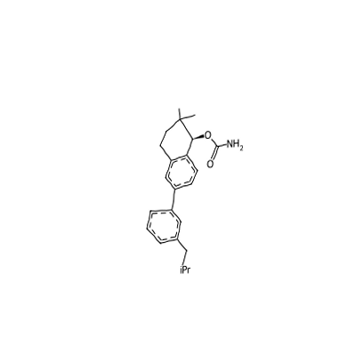 CC(C)Cc1cccc(-c2ccc3c(c2)CCC(C)(C)[C@H]3OC(N)=O)c1